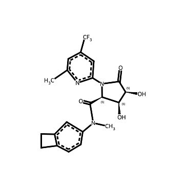 Cc1cc(C(F)(F)F)cc(N2C(=O)[C@@H](O)[C@@H](O)[C@H]2C(=O)N(C)c2ccc3c(c2)CC3)n1